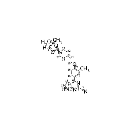 Cc1cc(-c2nc(C#N)nc3[nH]ccc23)ccc1OCCC1CCN(C(=O)OC(C)(C)C)CC1